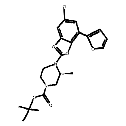 C[C@H]1CN(C(=O)OC(C)(C)C)CCN1c1nc2cc(Cl)cc(-c3ccco3)c2o1